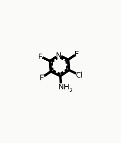 Nc1c(F)c(F)nc(F)c1Cl